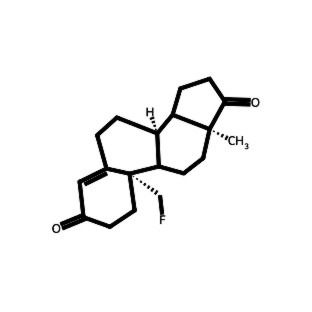 C[C@]12CCC3[C@@H](CCC4=CC(=O)CC[C@@]43CF)C1CCC2=O